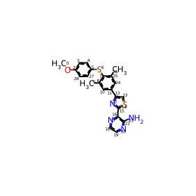 COc1ccc(Sc2c(C)cc(-c3csc(-c4nccnc4N)n3)cc2C)cc1